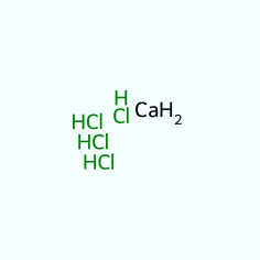 Cl.Cl.Cl.Cl.[CaH2]